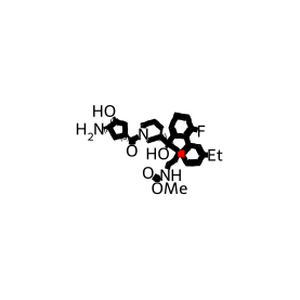 CCc1cccc(-c2c(F)cccc2[C@](O)(CCCNC(=O)OC)[C@@H]2CCCN(C(=O)[C@H]3C[C@@H](N)[C@@H](O)C3)C2)c1